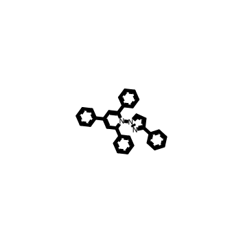 C1=C(c2ccccc2)C=C(c2ccccc2)N(n2ccc(-c3ccccc3)n2)C1c1ccccc1